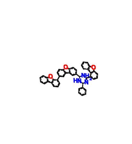 NC(NC(/N=C/c1cccc2oc3ccccc3c12)c1ccccc1)c1ccc2oc3ccc(-c4cccc5c4oc4ccccc45)cc3c2c1